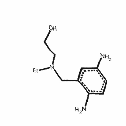 CCN(CCO)Cc1cc(N)ccc1N